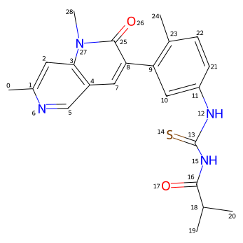 Cc1cc2c(cn1)cc(-c1cc(NC(=S)NC(=O)C(C)C)ccc1C)c(=O)n2C